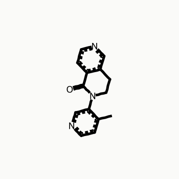 Cc1ccncc1N1CCc2cnccc2C1=O